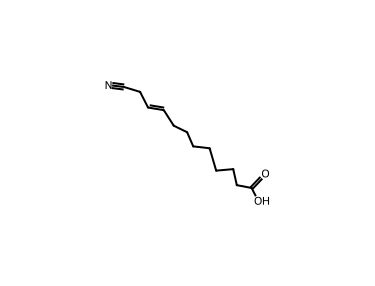 N#CCC=CCCCCCCCC(=O)O